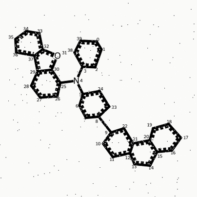 c1ccc(N(c2ccc(-c3ccc4ccc5ccccc5c4c3)cc2)c2cccc3c2oc2ccccc23)cc1